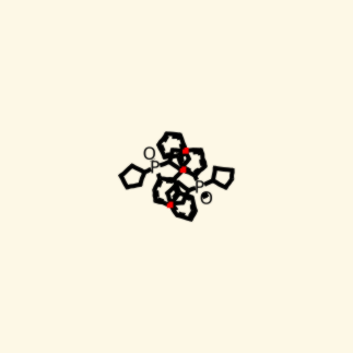 O=P(c1ccc2ccccc2c1-c1c(P(=O)(C2CCCC2)C2CCCC2)ccc2ccccc12)(C1CCCC1)C1CCCC1